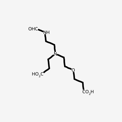 O=CNCCN(CCOCCC(=O)O)CCC(=O)O